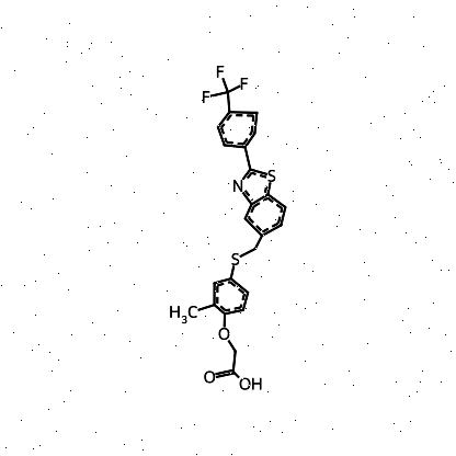 Cc1cc(SCc2ccc3sc(-c4ccc(C(F)(F)F)cc4)nc3c2)ccc1OCC(=O)O